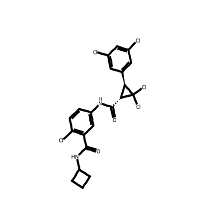 O=C(NC1CCC1)c1cc(NC(=O)[C@@H]2[C@@H](c3cc(Cl)cc(Cl)c3)C2(Cl)Cl)ccc1Cl